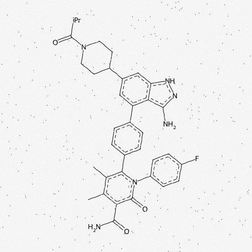 Cc1c(C)c(-c2ccc(-c3cc(C4CCN(C(=O)C(C)C)CC4)cc4[nH]nc(N)c34)cc2)n(-c2ccc(F)cc2)c(=O)c1C(N)=O